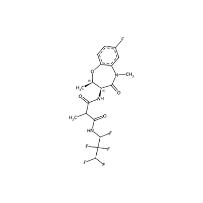 CC(C(=O)NC(F)C(F)(F)C(F)F)C(=O)N[C@@H]1C(=O)N(C)c2cc(F)ccc2O[C@@H]1C